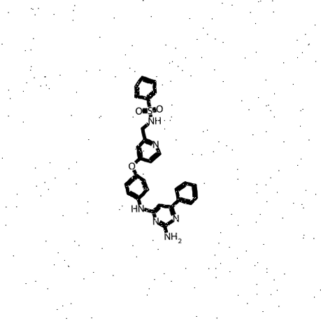 Nc1nc(Nc2ccc(Oc3ccnc(CNS(=O)(=O)c4ccccc4)c3)cc2)cc(-c2ccccc2)n1